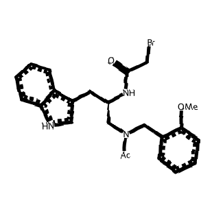 COc1ccccc1CN(C[C@@H](Cc1c[nH]c2ccccc12)NC(=O)CBr)C(C)=O